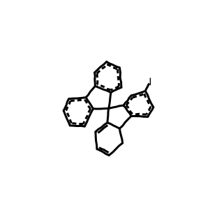 Ic1ccc2c(c1)C1(C3=CC=CCC32)c2ccccc2-c2ccccc21